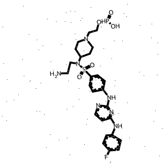 NCCN(C1CCN(CCO[PH](=O)O)CC1)S(=O)(=O)c1ccc(Nc2nccc(Nc3ccc(F)cc3)n2)cc1